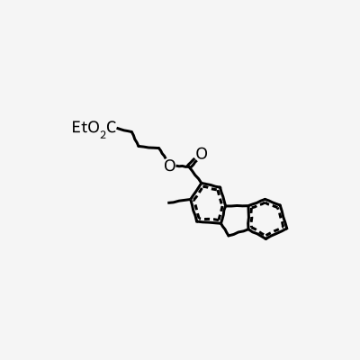 CCOC(=O)CCCOC(=O)c1cc2c(cc1C)Cc1ccccc1-2